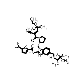 CCOC(C)(C)/C=C(\C#N)C(=O)N1CCC[C@@H]1Cn1c(NC(=O)c2ccc(C(F)F)s2)nc2cc(CN[C@@H](C)C(C)(C)C)ccc21